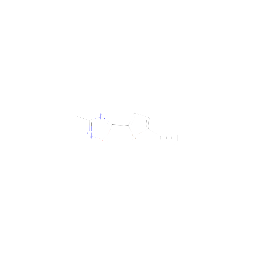 Cc1noc(-c2ccc(C(=O)O)s2)n1